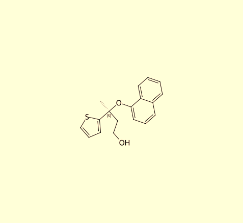 C[C@@](CCO)(Oc1cccc2ccccc12)c1cccs1